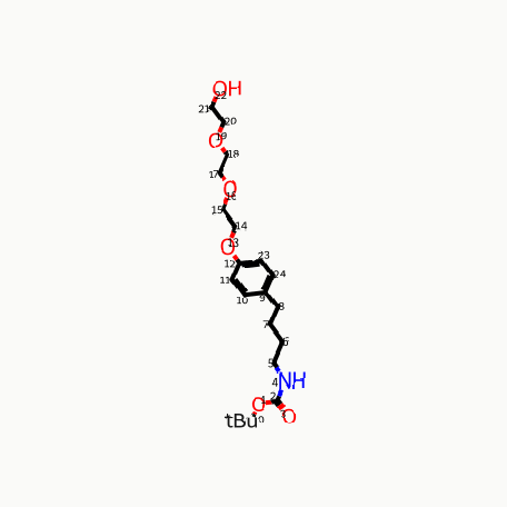 CC(C)(C)OC(=O)NCCCCc1ccc(OCCOCCOCCO)cc1